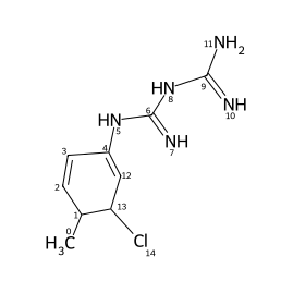 CC1C=CC(NC(=N)NC(=N)N)=CC1Cl